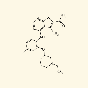 Cc1c(C(N)=O)sc2ncnc(Nc3ccc(F)cc3O[C@H]3CCCN(CC(F)(F)F)C3)c12